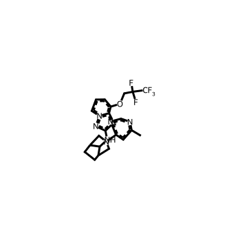 Cc1cc(N2CC3CCC(C2)C3Nc2nc3c(OCC(F)(F)C(F)(F)F)cccn3n2)ncn1